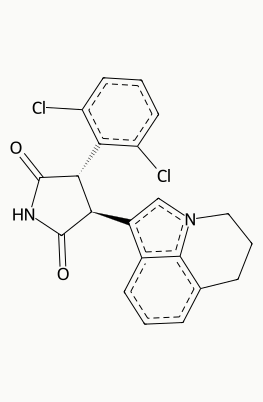 O=C1NC(=O)[C@H](c2cn3c4c(cccc24)CCC3)[C@H]1c1c(Cl)cccc1Cl